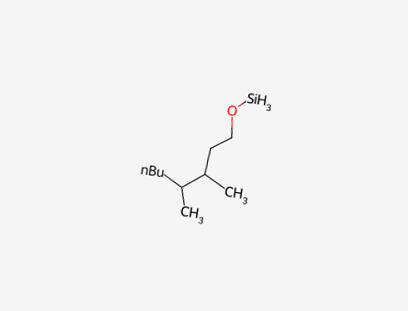 CCCCC(C)C(C)CCO[SiH3]